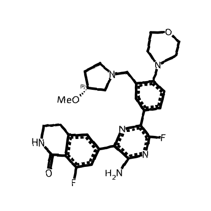 CO[C@@H]1CCN(Cc2cc(-c3nc(-c4cc(F)c5c(c4)CCNC5=O)c(N)nc3F)ccc2N2CCOCC2)C1